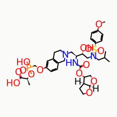 COc1ccc(S(=O)(=O)N(CC(C)C)C[C@@H](O)[C@H](CN2CCc3cc(OCP(=O)(O)O[C@@H](C)C(=O)O)ccc3C2)NC(=O)O[C@H]2CO[C@H]3OCC[C@H]32)cc1